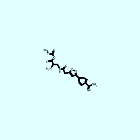 CCCCOC(=O)OC(=O)C(N)CNC(=O)Cc1cc(-c2ccc(C(=N)N)cc2)no1